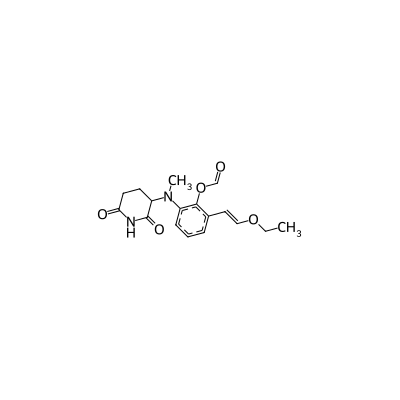 CCO/C=C/c1cccc(N(C)C2CCC(=O)NC2=O)c1OC=O